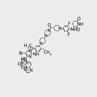 CCc1cc(Nc2ncc(Br)c(Nc3ccc4nccnc4c3P(C)(C)=O)n2)c(OC)cc1N1CCC(N2CCN(C(=O)C3CCN(c4cc(F)c(NC5CCC(=O)NC5=O)c(F)c4)CC3)CC2)CC1